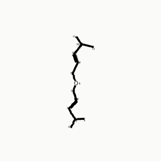 CC(C)C=CCOCC=CC(C)C